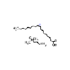 CCCCCCCC/C=C\CCCCCCCC(=O)O.C[N+](C)([O-])CCCN